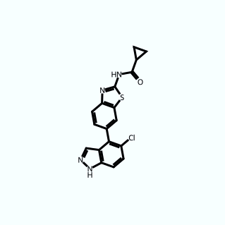 O=C(Nc1nc2ccc(-c3c(Cl)ccc4[nH]ncc34)cc2s1)C1CC1